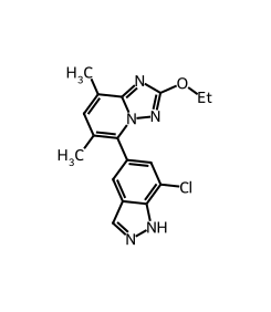 CCOc1nc2c(C)cc(C)c(-c3cc(Cl)c4[nH]ncc4c3)n2n1